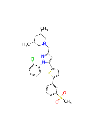 CC1CC(C)CN(Cc2cc(-c3ccc(-c4cccc(S(C)(=O)=O)c4)s3)n(-c3ccccc3Cl)n2)C1